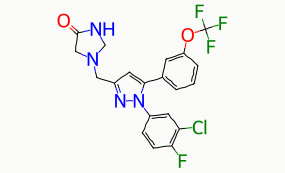 O=C1CN(Cc2cc(-c3cccc(OC(F)(F)F)c3)n(-c3ccc(F)c(Cl)c3)n2)CN1